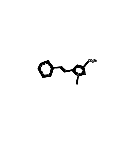 CCOC(=O)c1cc(/C=C/c2ccccc2)n(C)n1